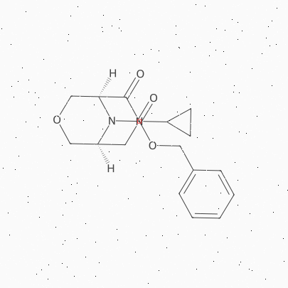 O=C1[C@@H]2COC[C@H](CN1C1CC1)N2C(=O)OCc1ccccc1